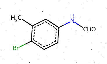 Cc1cc(NC=O)ccc1Br